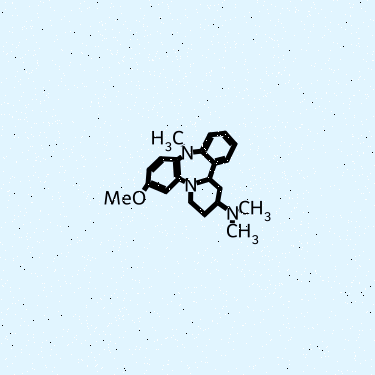 COc1ccc2c(c1)N1CCC(N(C)C)CC1c1ccccc1N2C